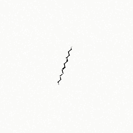 [CH2]CCCC=CCC=CCCCCC